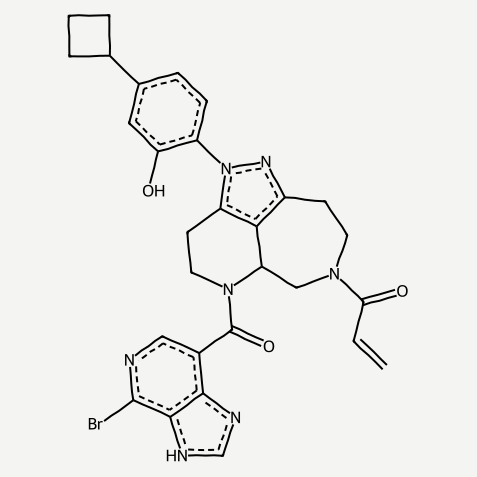 C=CC(=O)N1CCc2nn(-c3ccc(C4CCC4)cc3O)c3c2C(C1)N(C(=O)c1cnc(Br)c2[nH]cnc12)CC3